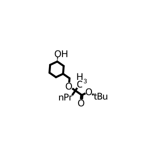 CCCC(C)(OCC1CCC[C@H](O)C1)C(=O)OC(C)(C)C